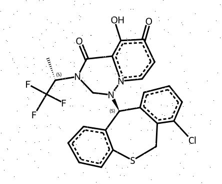 C[C@H](N1CN([C@@H]2c3ccccc3SCc3c(Cl)cccc32)n2ccc(=O)c(O)c2C1=O)C(F)(F)F